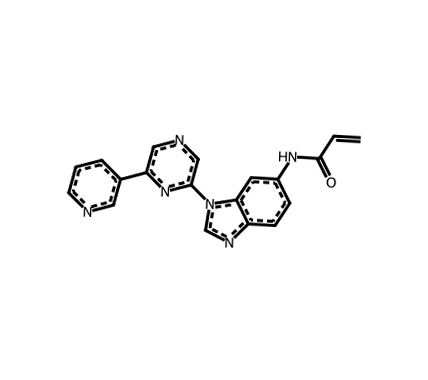 C=CC(=O)Nc1ccc2ncn(-c3cncc(-c4cccnc4)n3)c2c1